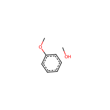 CO.COc1ccccc1